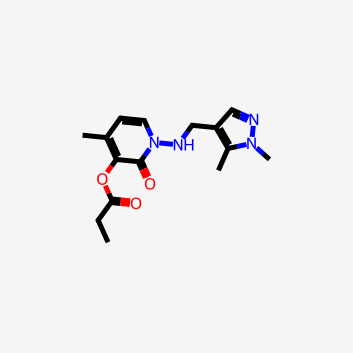 CCC(=O)Oc1c(C)ccn(NCc2cnn(C)c2C)c1=O